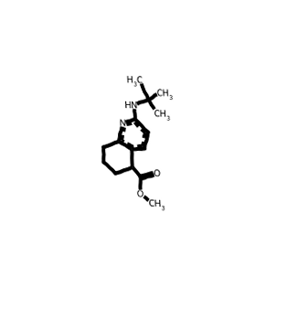 COC(=O)C1CCCc2nc(NC(C)(C)C)ccc21